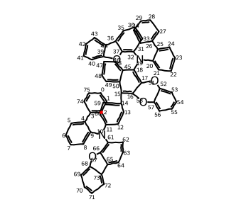 c1ccc(-c2ccccc2N(c2ccc(-c3c4c(c(N(c5ccccc5-c5ccccc5)c5cccc6c5oc5ccccc56)c5ccccc35)Oc3ccccc3O4)cc2)c2cccc3c2oc2ccccc23)cc1